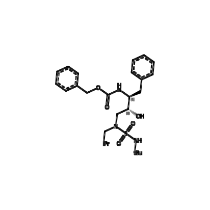 CC(C)CN(C[C@@H](O)[C@H](Cc1ccccc1)NC(=O)OCc1ccccc1)S(=O)(=O)NC(C)(C)C